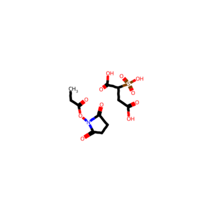 CCC(=O)ON1C(=O)CCC1=O.O=C(O)CC(C(=O)O)S(=O)(=O)O